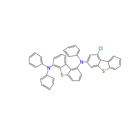 Clc1cc(N(c2ccccc2)c2cccc3sc4c(N(c5ccccc5)c5ccccc5)cccc4c23)cc2sc3ccccc3c12